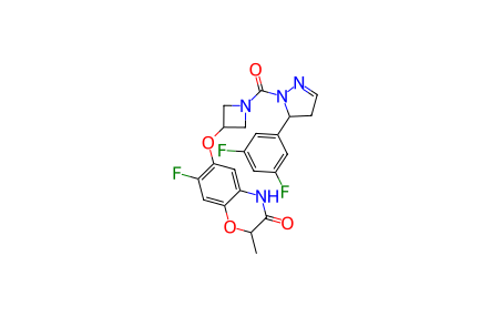 CC1Oc2cc(F)c(OC3CN(C(=O)N4N=CCC4c4cc(F)cc(F)c4)C3)cc2NC1=O